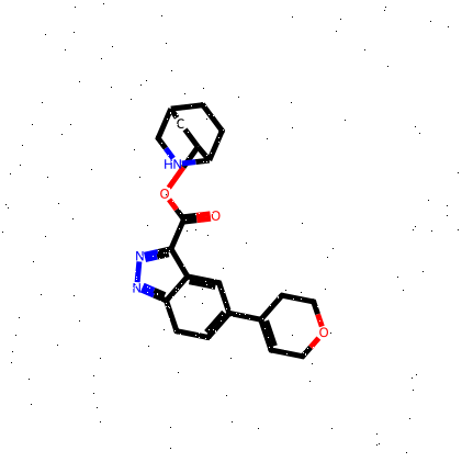 O=C(OC1CC2CCC1NC2)C1=NN=C2CC=C(C3=CCOCC3)C=C21